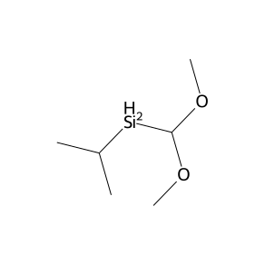 COC(OC)[SiH2]C(C)C